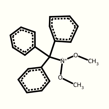 CO[N+](OC)C(c1ccccc1)(c1ccccc1)c1ccccc1